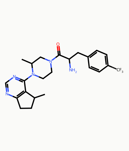 CC1CCc2ncnc(N3CCN(C(=O)C(N)Cc4ccc(C(F)(F)F)cc4)CC3C)c21